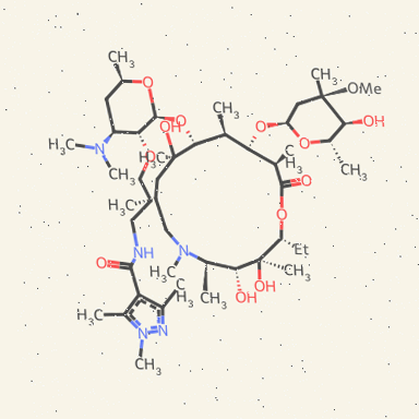 CC[C@H]1OC(=O)[C@H](C)[C@@H](O[C@H]2C[C@@](C)(OC)[C@@H](O)[C@H](C)O2)[C@H](C)[C@@H](O[C@@H]2O[C@H](C)C[C@H](N(C)C)[C@H]2OCCCNC(=O)c2c(C)nn(C)c2C)[C@](C)(O)C[C@@H](C)CN(C)[C@H](C)[C@@H](O)[C@]1(C)O